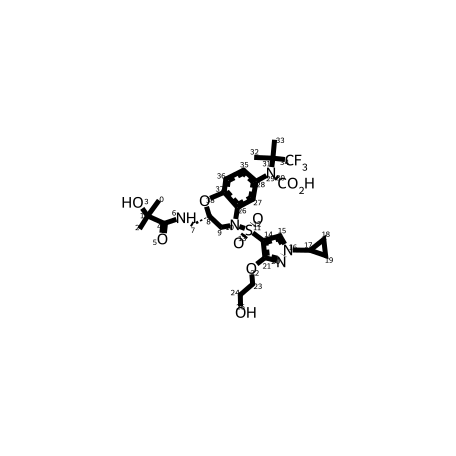 CC(C)(O)C(=O)NC[C@H]1CN(S(=O)(=O)c2cn(C3CC3)nc2OCCO)c2cc(N(C(=O)O)C(C)(C)C(F)(F)F)ccc2O1